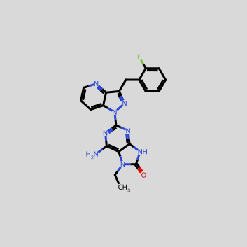 CCn1c(=O)[nH]c2nc(-n3nc(Cc4ccccc4F)c4ncccc43)nc(N)c21